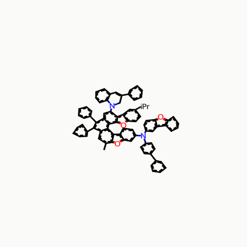 Cc1cc2c(-c3ccccc3)c(-c3ccccc3)c3cc(N4CC(c5ccccc5)=Cc5ccccc54)c4c5cc(C(C)C)ccc5oc4c3c2c2c1oc1cc(N(c3ccc(-c4ccccc4)cc3)c3ccc4oc5ccccc5c4c3)ccc12